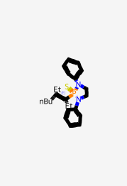 CCCC/C(CC)=C(\CC)P1(=S)N(c2ccccc2)CCN1c1ccccc1